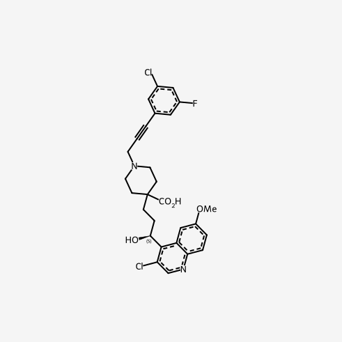 COc1ccc2ncc(Cl)c([C@@H](O)CCC3(C(=O)O)CCN(CC#Cc4cc(F)cc(Cl)c4)CC3)c2c1